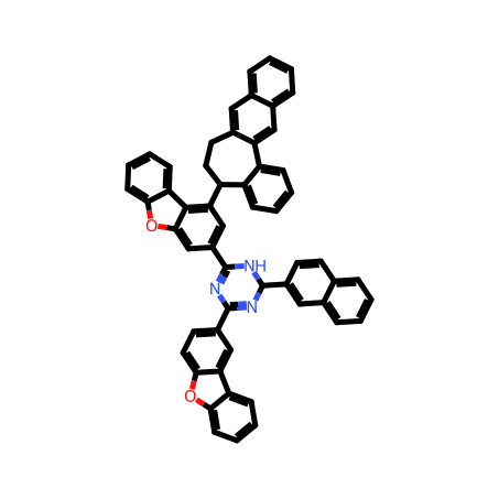 c1ccc2c(c1)-c1cc3ccccc3cc1CCC2c1cc(C2=NC(c3ccc4oc5ccccc5c4c3)=NC(c3ccc4ccccc4c3)N2)cc2oc3ccccc3c12